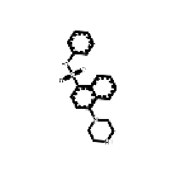 O=S(=O)(Nc1ccccc1)c1ccc(N2CCNCC2)c2ccccc12